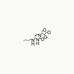 CCCCNC1C=CN(C2COC(OC)C2OC)C(=O)N1